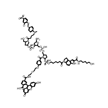 BC1CC(OP(=O)(O)OC2CC(CO)N(C(=O)CCCN(C)c3ccc(/N=N/c4ccc([N+](=O)[O-])cc4Cl)cc3)C2)C(COP(=O)(O)OCC2CCC(OP(=O)(O)OCCCCCC(=O)N3CCc4c3ccc3[nH]c(C(=O)NCCCCCO)cc43)N2C(=O)c2ccc(OCCOCCNC(=O)c3ccc(C(=O)O)c(-c4c5ccc(=O)cc-5oc5cc(O)ccc45)c3)cc2)O1